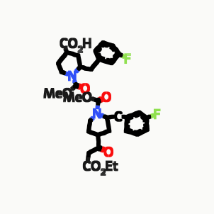 CCOC(=O)CC(=O)C1CCN(C(=O)OC)C(Cc2cccc(F)c2)C1.COC(=O)N1CCC(C(=O)O)CC1Cc1cccc(F)c1